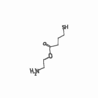 NCCOC(=O)CCCS